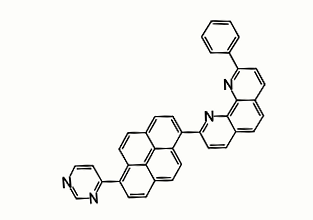 c1ccc(-c2ccc3ccc4ccc(-c5ccc6ccc7c(-c8ccncn8)ccc8ccc5c6c87)nc4c3n2)cc1